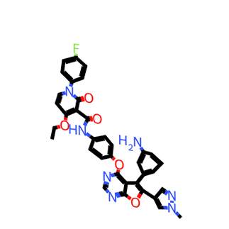 CCOc1ccn(-c2ccc(F)cc2)c(=O)c1C(=O)Nc1ccc(Oc2ncnc3oc(-c4cnn(C)c4)c(-c4cccc(N)c4)c23)cc1